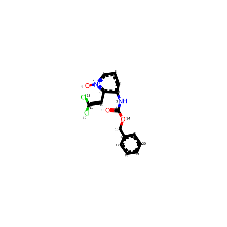 O=C(Nc1ccc[n+]([O-])c1C=C(Cl)Cl)OCc1ccccc1